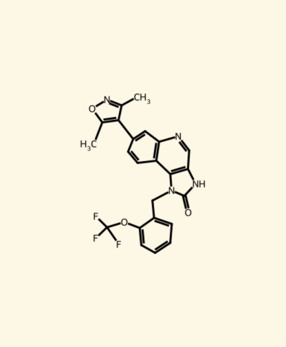 Cc1noc(C)c1-c1ccc2c(c1)ncc1[nH]c(=O)n(Cc3ccccc3OC(F)(F)F)c12